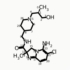 C[C@@H](CO)CN1CCC(CNC(=O)C2(C)CN3C(=N2)C=CC(Cl)=C3N)CC1